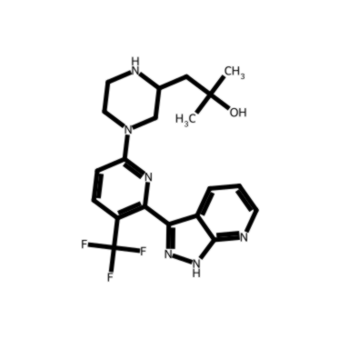 CC(C)(O)CC1CN(c2ccc(C(F)(F)F)c(-c3n[nH]c4ncccc34)n2)CCN1